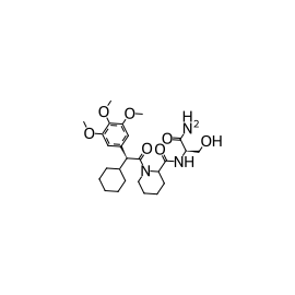 COc1cc([C@@H](C(=O)N2CCCCC2C(=O)N[C@H](CO)C(N)=O)C2CCCCC2)cc(OC)c1OC